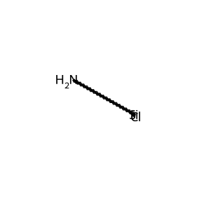 C[Si](C)(Cl)CCCCCCCCCCCCCCCCCCCCCCCCCCCCCCCCCCCCN